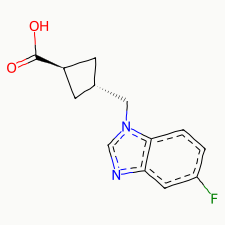 O=C(O)[C@H]1C[C@H](Cn2cnc3cc(F)ccc32)C1